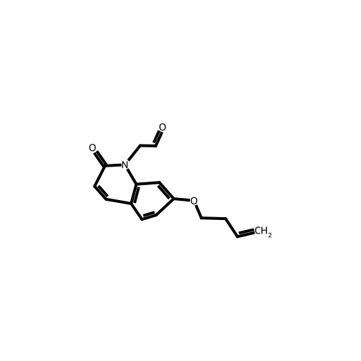 C=CCCOc1ccc2ccc(=O)n(CC=O)c2c1